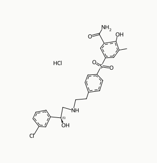 Cc1cc(S(=O)(=O)c2ccc(CCNC[C@@H](O)c3cccc(Cl)c3)cc2)cc(C(N)=O)c1O.Cl